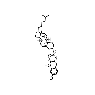 CC(C)CCC[C@@H](C)[C@H]1CC[C@H]2[C@@H]3CC=C4C[C@@H](OC(=O)N[C@@H](Cc5ccc(O)cc5)C(=O)O)CCC4(C)[C@H]3CCC12C